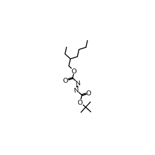 CCCCC(CC)COC(=O)/N=N/C(=O)OC(C)(C)C